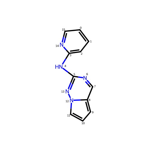 c1ccc(Nc2ncc3cccn3n2)nc1